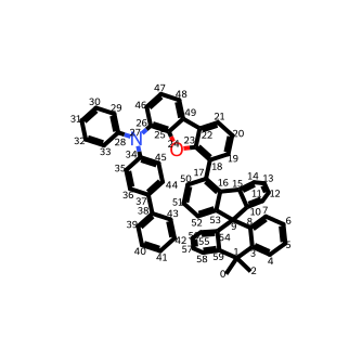 CC1(C)c2ccccc2C2(c3ccccc3-c3c(-c4cccc5c4oc4c(N(c6ccccc6)c6ccc(-c7ccccc7)cc6)cccc45)cccc32)c2ccccc21